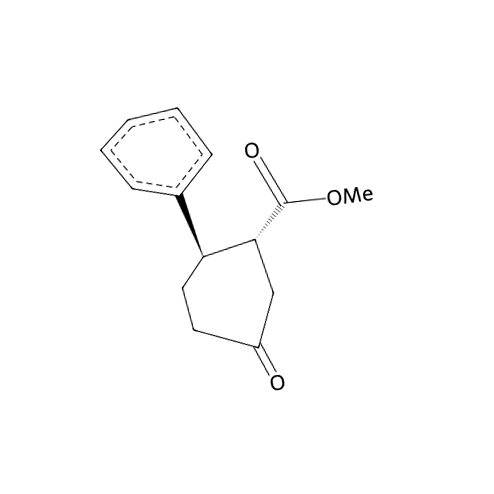 COC(=O)[C@@H]1CC(=O)CC[C@H]1c1ccccc1